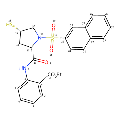 CCOC(=O)c1ccccc1NC(=O)[C@@H]1C[C@H](S)CN1S(=O)(=O)c1ccc2ccccc2c1